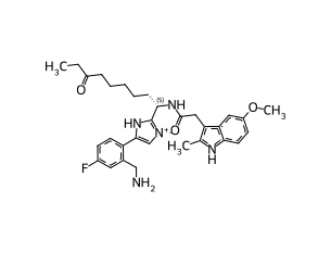 CCC(=O)CCCCC[C@H](NC(=O)Cc1c(C)[nH]c2ccc(OC)cc12)C1=[N+]C=C(c2ccc(F)cc2CN)N1